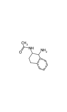 CC(=O)NC1CCc2ccccc2C1N